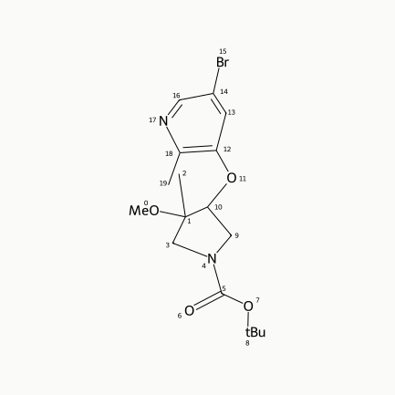 COC1(C)CN(C(=O)OC(C)(C)C)CC1Oc1cc(Br)cnc1C